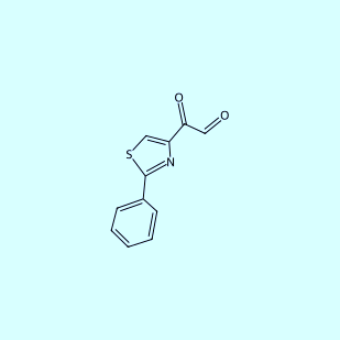 O=CC(=O)c1csc(-c2ccccc2)n1